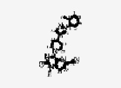 Cc1ccccc1-n1cc(C2CCN(c3nc(=O)n(C)c4ccc(C#N)nc34)CC2)cn1